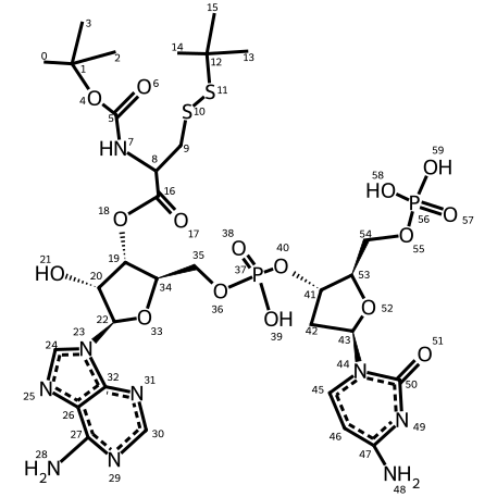 CC(C)(C)OC(=O)NC(CSSC(C)(C)C)C(=O)O[C@H]1[C@@H](O)[C@H](n2cnc3c(N)ncnc32)O[C@@H]1COP(=O)(O)O[C@H]1C[C@H](n2ccc(N)nc2=O)O[C@@H]1COP(=O)(O)O